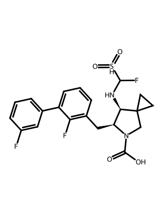 O=C(O)N1CC2(CC2)[C@H](NC(F)[SH](=O)=O)[C@@H]1Cc1cccc(-c2cccc(F)c2)c1F